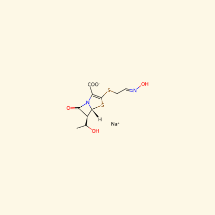 CC(O)[C@H]1C(=O)N2C(C(=O)[O-])=C(SCC=NO)S[C@H]12.[Na+]